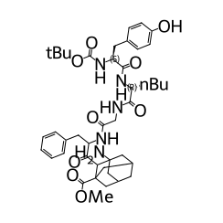 CCCC[C@@H](NC(=O)[C@H](Cc1ccc(O)cc1)NC(=O)OC(C)(C)C)C(=O)NCC(=O)NC(Cc1ccccc1)C(=O)C1C2(N)CC3CC(C2)CC1(C(=O)OC)C3